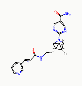 NC(=O)c1cnc(N2C[C@@H]3[C@@H]4C2[C@]34CCNC(=O)/C=C/c2cccnc2)nc1